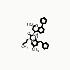 CCCC[C@@H](C(=O)NC(CC(=O)O)c1cccc(-c2ccccc2)c1)n1cc(C)cc(Cc2ccccc2)c1=O